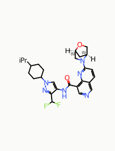 CC(C)C1CCC(n2cc(NC(=O)c3cncc4ccc(N5C[C@@H]6C[C@H]5CO6)nc34)c(C(F)F)n2)CC1